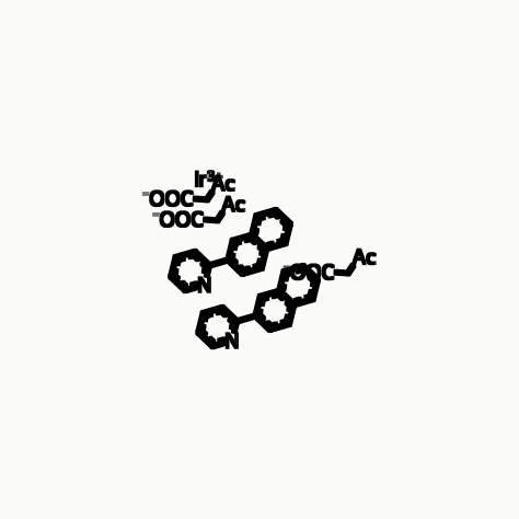 CC(=O)CC(=O)[O-].CC(=O)CC(=O)[O-].CC(=O)CC(=O)[O-].[Ir+3].c1ccc(-c2ccc3ccccc3c2)nc1.c1ccc(-c2ccc3ccccc3c2)nc1